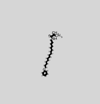 C=C(C)C(=O)NCCCCCCCCCCCCCCCCOc1ccccc1